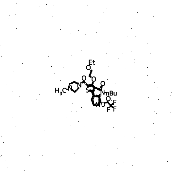 CCCCn1c(=O)c2c(OCCOCC)c(C(=O)N3CCN(C)CC3)sc2c2ccccc21.O=C(O)C(F)(F)F